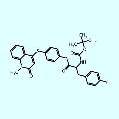 Cn1c(=O)cc(Sc2ccc(NC(=O)C(Cc3ccc(F)cc3)NC(=O)OC(C)(C)C)cc2)c2ccccc21